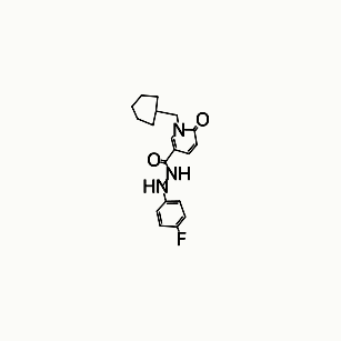 O=C(NNc1ccc(F)cc1)c1ccc(=O)n(CC2CCCCC2)c1